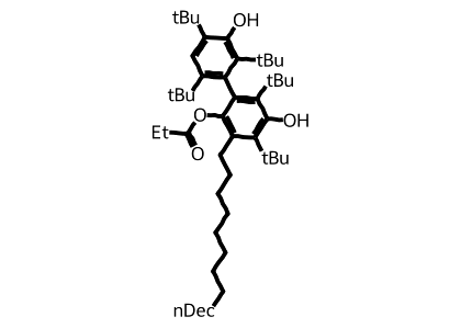 CCCCCCCCCCCCCCCCCCc1c(OC(=O)CC)c(-c2c(C(C)(C)C)cc(C(C)(C)C)c(O)c2C(C)(C)C)c(C(C)(C)C)c(O)c1C(C)(C)C